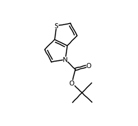 CC(C)(C)OC(=O)n1ccc2sccc21